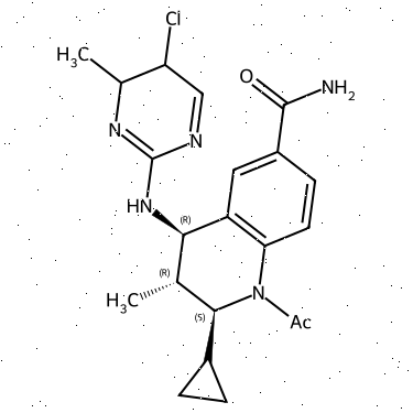 CC(=O)N1c2ccc(C(N)=O)cc2[C@H](NC2=NC(C)C(Cl)C=N2)[C@@H](C)[C@@H]1C1CC1